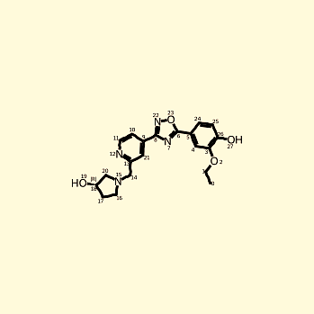 CCOc1cc(-c2nc(-c3ccnc(CN4CC[C@@H](O)C4)c3)no2)ccc1O